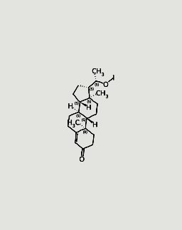 C[C@H](OI)[C@H]1CC[C@H]2[C@@H]3CCC4=CC(=O)CC[C@]4(C)[C@H]3CC[C@]12C